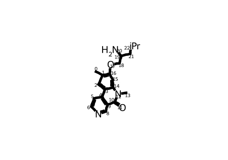 Cc1cc2c3ccncc3c(=O)n(C)c2cc1OCC(N)CC(C)C